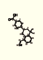 CC1(C)CC(c2ccc(C(=O)O)cn2)Sc2c(C=[Se])cccc21